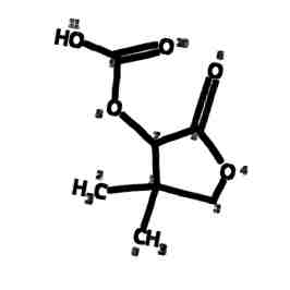 CC1(C)COC(=O)C1OC(=O)O